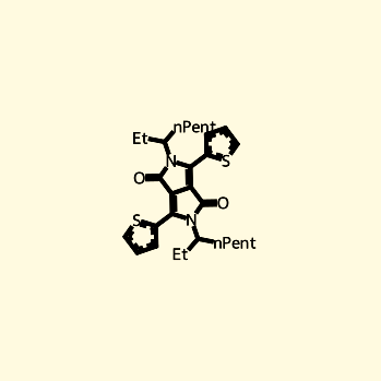 CCCCCC(CC)N1C(=O)C2=C(c3cccs3)N(C(CC)CCCCC)C(=O)C2=C1c1cccs1